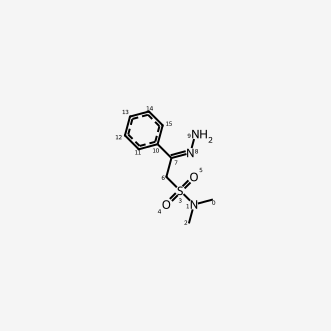 CN(C)S(=O)(=O)C/C(=N/N)c1ccccc1